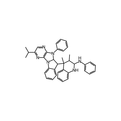 CC(C)c1cnc2c(n1)N1c3ccccc3C(C3(C)c4ccccc4NC(Nc4ccccc4)C3C)C1N2c1ccccc1